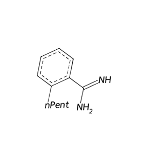 CCCCCc1ccccc1C(=N)N